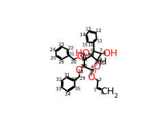 C=CCO[C@@H]1O[C@@H]2C(O)C(c3ccccc3)[C@]2(O)[C@H](OCc2ccccc2)[C@H]1OCc1ccccc1